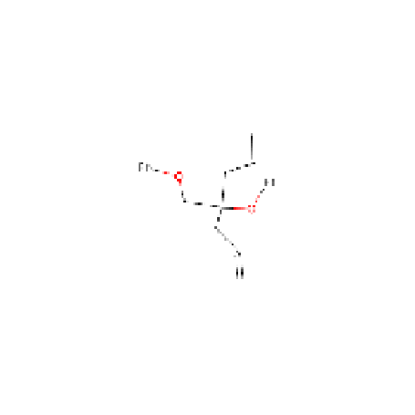 C=CCC(CC=C)(COCC)OCC